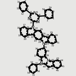 c1ccc(-c2nc(-c3ccccc3)nc(-n3c4ccccc4c4cc5c(cc43)c3ccccc3n5-c3ccc4c(c3)n3c5ccccc5cc3n4-c3ccccc3)n2)cc1